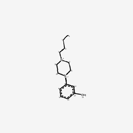 CC[CH]CN1CCN(c2cccc(O)c2)CC1